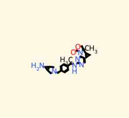 C[C@H](Nc1nccc(N2C(=O)OC[C@]2(C)C2CC2)n1)c1ccc(CN2CC3C(N)C3C2)cc1